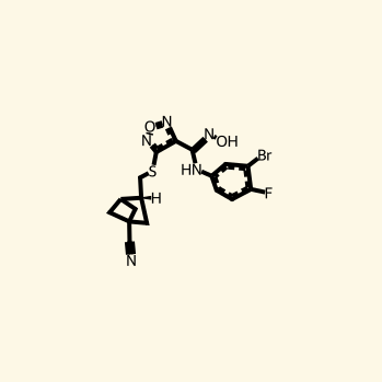 N#CC12CC(C1)[C@H](CSc1nonc1/C(=N/O)Nc1ccc(F)c(Br)c1)C2